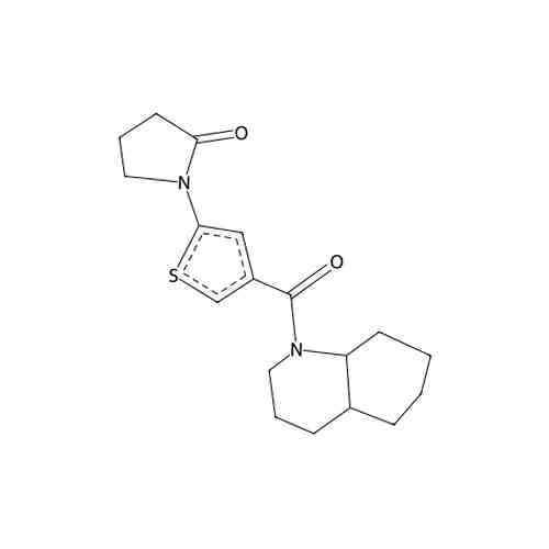 O=C1CCCN1c1cc(C(=O)N2CCCC3CCCCC32)cs1